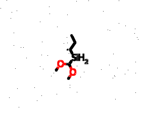 CC[CH][SiH2]C(OC)OC